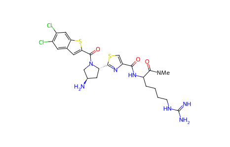 CNC(=O)C(CCCCNC(=N)N)NC(=O)c1csc([C@@H]2C[C@@H](N)CN2C(=O)c2cc3cc(Cl)c(Cl)cc3s2)n1